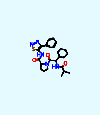 CC(C)C(=O)NC(C(=O)N1CCC[C@H]1C(=O)Nc1snnc1-c1ccccc1)C1CCCCC1